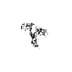 BC(C)(C)SSCO[C@@H]1C[C@H](n2ccc(N)nc2=O)OC1COP(=O)(O)C(C)N